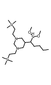 CCCCC(C1CN(CC[Si](C)(C)C)CN(CC[Si](C)(C)C)C1)[SiH](OC)OC